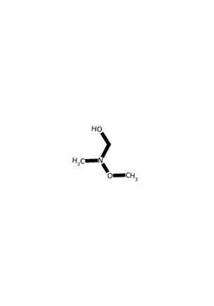 CON(C)CO